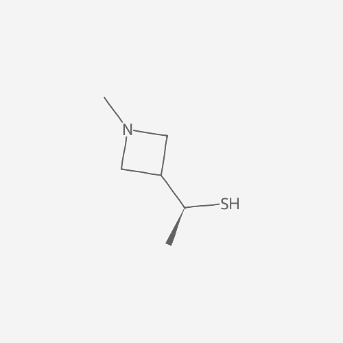 C[C@H](S)C1CN(C)C1